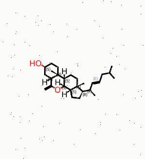 C=C1O[C@H]2[C@H]3CC[C@H]([C@H](C)/C=C/CC(C)C)[C@@]3(C)CC[C@H]2[C@@]2(C)CC[C@H](O)C[C@@H]12